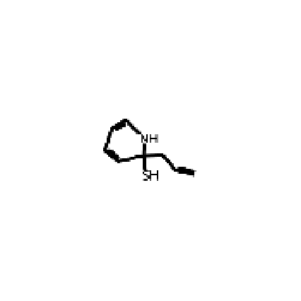 C=CCC1(S)C=CC=CN1